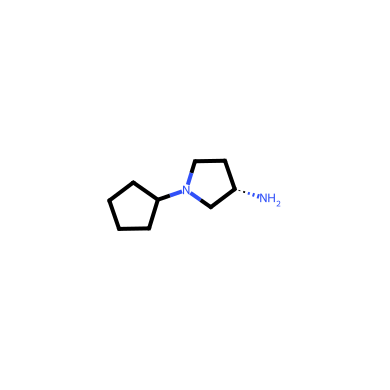 N[C@H]1CCN(C2CCCC2)C1